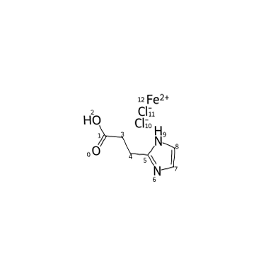 O=C(O)CCc1ncc[nH]1.[Cl-].[Cl-].[Fe+2]